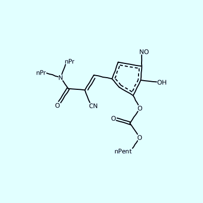 CCCCCOC(=O)Oc1cc(/C=C(\C#N)C(=O)N(CCC)CCC)cc(N=O)c1O